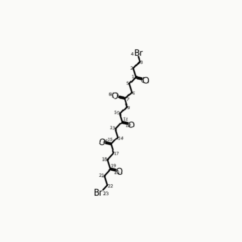 O=C(CCBr)CCC(=O)CCC(=O)CCC(=O)CCC(=O)CCBr